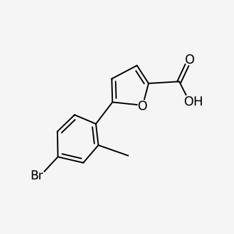 Cc1cc(Br)ccc1-c1ccc(C(=O)O)o1